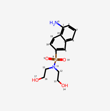 Nc1cccc2cc(S(=O)(=O)N(CCO)CCO)ccc12